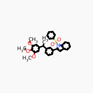 COc1cc(C(C)c2cccc(-c3cc4ccccc4n3S(=O)(=O)c3ccccc3)c2)cc(OC)c1OC